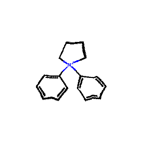 c1ccc([N+]2(c3ccccc3)CCCC2)cc1